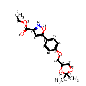 CCOC(=O)c1cc(-c2ccc(OCC3COC(C)(C)O3)cc2)on1